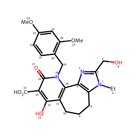 CCn1c(CO)nc2c1CCCc1c(O)c(C(=O)O)c(=O)n(Cc3ccc(OC)cc3OC)c1-2